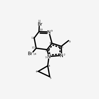 Cc1nn(C2CC2)c2c1N=C(Br)CC2Br